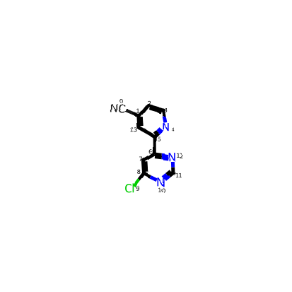 N#Cc1ccnc(-c2cc(Cl)ncn2)c1